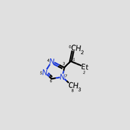 C=C(CC)c1nncn1C